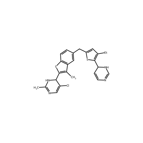 CCc1cc(Cc2ccc3sc(C4NC(C)=NC=C4Cl)c(C)c3c2)sc1C1C=CN=CN1